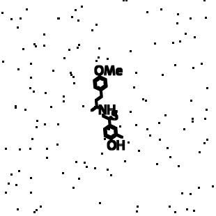 COc1ccc(CCC(C)NCC(=S)c2ccc(O)c(C)c2)cc1